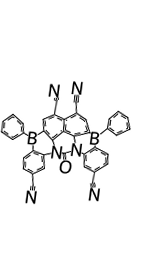 N#Cc1ccc2c(c1)N1C(=O)N3c4cc(C#N)ccc4B(c4ccccc4)c4cc(C#N)c5c(C#N)cc(c1c5c43)B2c1ccccc1